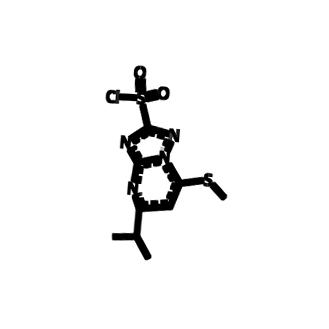 CSc1cc(C(C)C)nc2nc(S(=O)(=O)Cl)nn12